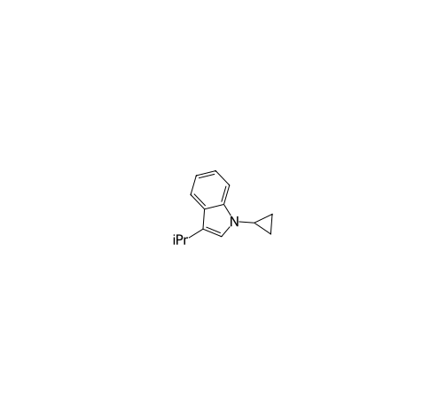 CC(C)c1cn(C2CC2)c2ccccc12